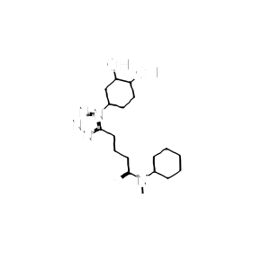 CN(C(=S)CCCc1nnnn1C1CCC(O)C(O)C1)C1CCCCC1